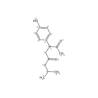 CC(=O)N(CC(=O)OC(C)C)c1ccc(O)cc1